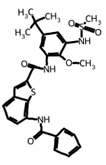 COc1c(NC(=O)c2cc3cccc(NC(=O)c4ccccc4)c3s2)cc(C(C)(C)C)cc1NS(C)(=O)=O